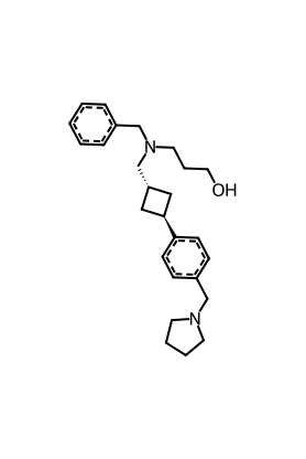 OCCCN(Cc1ccccc1)C[C@H]1C[C@H](c2ccc(CN3CCCC3)cc2)C1